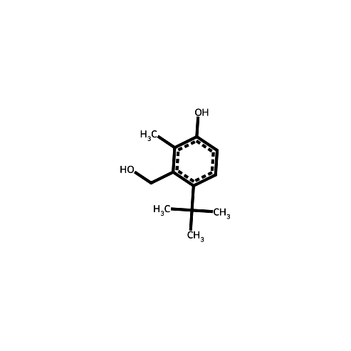 Cc1c(O)ccc(C(C)(C)C)c1CO